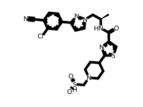 C[C@H](Cn1ccc(-c2ccc(C#N)c(Cl)c2)n1)NC(=O)c1csc(C2CCN(C[SH](=O)=O)CC2)n1